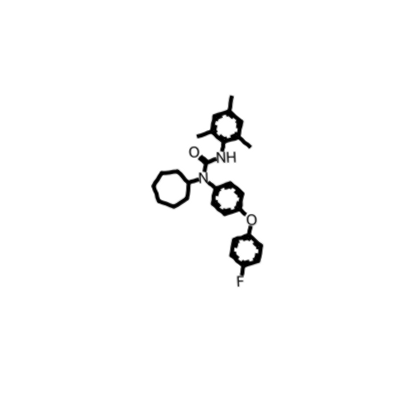 Cc1cc(C)c(NC(=O)N(c2ccc(Oc3ccc(F)cc3)cc2)C2CCCCCC2)c(C)c1